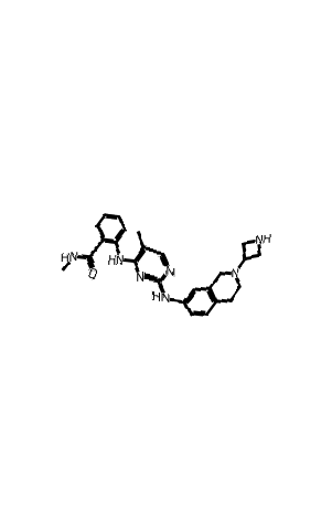 CNC(=O)C1CC=CC=C1Nc1nc(Nc2ccc3c(c2)CN(C2CNC2)CC3)ncc1C